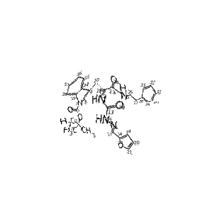 CC(C)(C)OC(=O)n1cc(C[C@@H](NC(=O)NN=Cc2ccco2)C(=O)NCCc2ccccc2)c2ccccc21